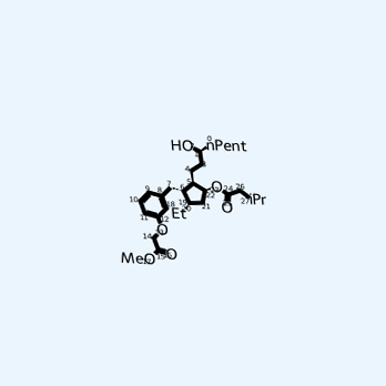 CCCCC[C@H](O)CC[C@@H]1[C@@H](Cc2cccc(OCC(=O)OC)c2)[C@@H](CC)C[C@H]1OC(=O)CC(C)C